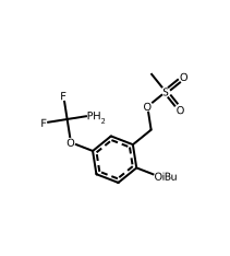 CC(C)COc1ccc(OC(F)(F)P)cc1COS(C)(=O)=O